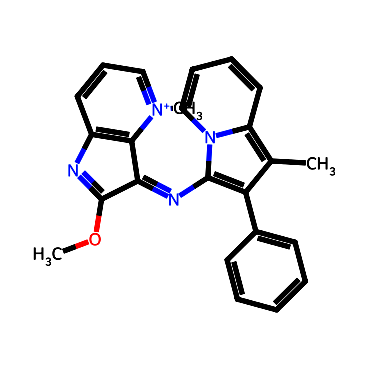 COC1=Nc2ccc[n+](C)c2/C1=N\c1c(-c2ccccc2)c(C)c2ccccn12